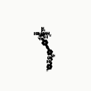 C[C@@H](N)[C@H](NC(=O)c1ccc(C#Cc2ccc(NC(=O)CNCc3ccc(F)cc3)cc2)cc1)C(=O)NO